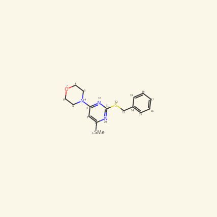 CSc1cc(N2CCOCC2)nc(SCc2ccccc2)n1